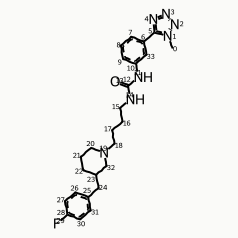 Cn1nnnc1-c1cccc(NC(=O)NCCCCN2CCCC(Cc3ccc(F)cc3)C2)c1